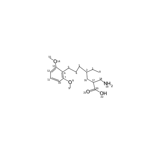 CCC(CCCc1c(OC)cccc1OC)CC(CN)C(=O)O